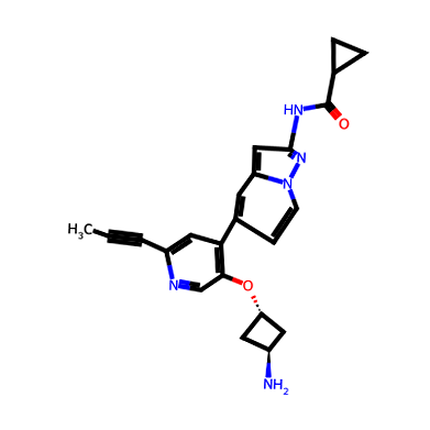 CC#Cc1cc(-c2ccn3nc(NC(=O)C4CC4)cc3c2)c(O[C@H]2C[C@H](N)C2)cn1